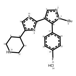 CC(C)(C)n1ncc(-c2nc(C3CCNCC3)cs2)c1-c1ccc(F)cc1.Cl